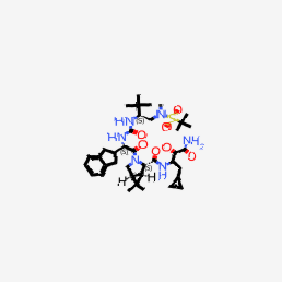 CN(C[C@@H](NC(=O)N[C@H](C(=O)N1C[C@H]2[C@@H]([C@H]1C(=O)NC(CC1CC1)C(=O)C(N)=O)C2(C)C)C1Cc2ccccc2C1)C(C)(C)C)S(=O)(=O)C(C)(C)C